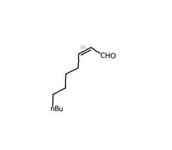 CCCCCCCC/C=C\C=O